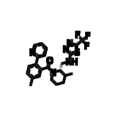 Cc1ccc(-c2ccccn2)c(C(=O)N2CCCC(C)[C@H]2CNc2nnc(C(F)(F)F)s2)c1